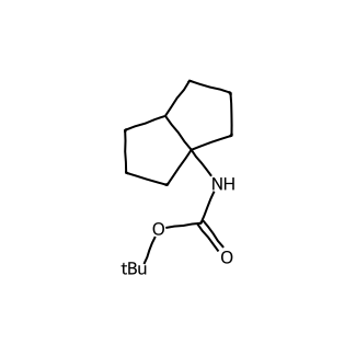 CC(C)(C)OC(=O)NC12CCCC1CCC2